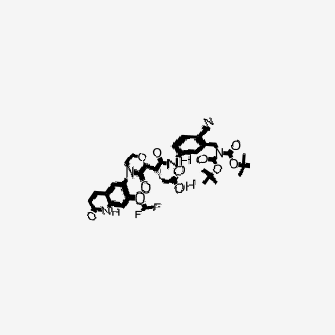 CC(C)(C)OC(=O)N(Cc1cc(NC(=O)[C@H](CC(=O)O)[C@H]2OCCN(c3cc4ccc(=O)[nH]c4cc3OC(F)F)C2=O)ccc1C#N)C(=O)OC(C)(C)C